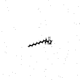 CCCCCCCCCCC(C)(C)C1=NCCN1